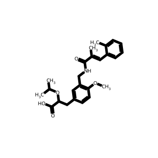 COc1ccc(CC(OC(C)C)C(=O)O)cc1CNC(=O)C(C)=Cc1ccccc1C